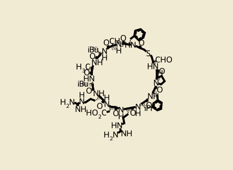 CC[C@H](C)[C@@H]1NC(=O)[C@H](C)NC(=O)[C@H](Cc2ccccc2)NC(=O)CSC[C@@H](C=O)NC(=O)[C@@H]2CCCN2C(=O)[C@H](Cc2ccccc2)NC(=O)[C@H](C(C)C)NC(=O)[C@H](CCCNC(=N)N)NC(=O)[C@H](CC(=O)O)NC(=O)[C@H](CCCNC(=N)N)NC(=O)[C@H]([C@@H](C)CC)NC(=O)[C@H](C)NC1=O